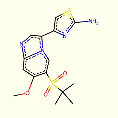 COc1cc2ncc(-c3csc(N)n3)n2cc1S(=O)(=O)C(C)(C)C